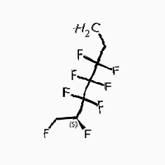 [CH2]CC(F)(F)C(F)(F)C(F)(F)[C@@H](F)CF